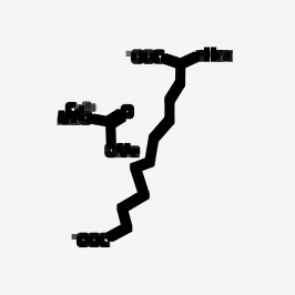 CCCCCCC(CCCCCCCCCC(=O)[O-])C(=O)[O-].COC(=O)OC.[Ca+2]